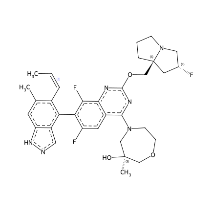 C/C=C\c1c(C)cc2[nH]ncc2c1-c1c(F)cc2c(N3CCOC[C@@](C)(O)C3)nc(OC[C@@]34CCCN3C[C@H](F)C4)nc2c1F